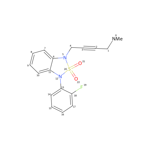 CNCC#CCN1c2ccccc2N(c2ccccc2F)S1(=O)=O